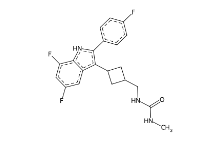 CNC(=O)NCC1CC(c2c(-c3ccc(F)cc3)[nH]c3c(F)cc(F)cc23)C1